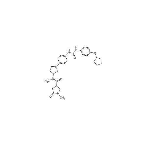 CN1CC(C(=O)N(C)C2CCN(c3ccc(NC(=O)Nc4ccc(OC5CCCC5)cc4)cc3)C2)CC1=O